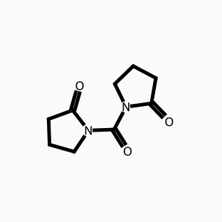 O=C1CCCN1C(=O)N1CCCC1=O